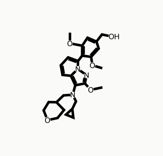 COc1cc(CO)cc(OC)c1-c1cccc2c(N(CC3CCOCC3)CC3CC3)c(OC)nn12